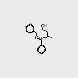 CC(O)CCO.c1ccc(COCc2ccccc2)cc1